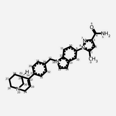 Cc1cc(C(N)=O)nn1-c1ccc2c(ccn2Cc2ccc(C3=CCN4CCC[C@@H]3C4)cc2)c1